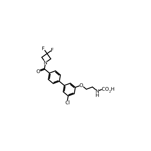 O=C(O)NCCOc1cc(Cl)cc(-c2ccc(C(=O)N3CC(F)(F)C3)cc2)c1